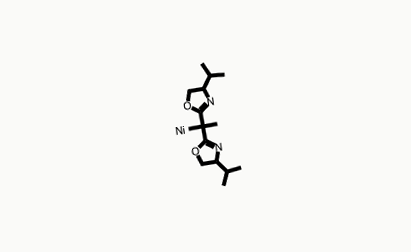 CC(C)C1COC(C(C)(C)C2=NC(C(C)C)CO2)=N1.[Ni]